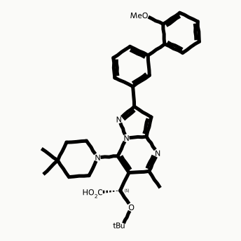 COc1ccccc1-c1cccc(-c2cc3nc(C)c([C@H](OC(C)(C)C)C(=O)O)c(N4CCC(C)(C)CC4)n3n2)c1